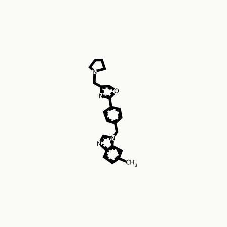 Cc1ccc2ncn(Cc3ccc(-c4nc(CN5CCCC5)co4)cc3)c2c1